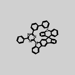 c1ccc(-c2cccc(-c3nc(-c4ccccc4)nc(-n4c5ccccc5c5cc6c(cc54)C4(c5ccccc5Sc5ccccc54)c4ccccc4-6)n3)c2)cc1